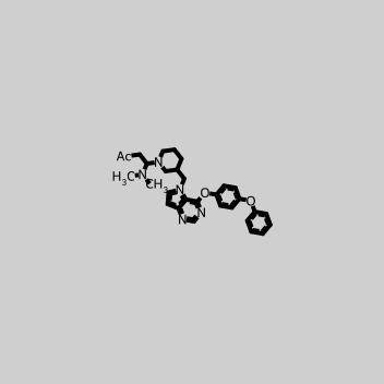 CC(=O)CC(N(C)C)N1CCCC(Cn2ccc3ncnc(Oc4ccc(Oc5ccccc5)cc4)c32)C1